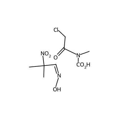 CC(C)(/C=N\O)[N+](=O)[O-].CN(C(=O)O)C(=O)CCl